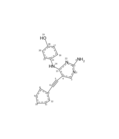 Nc1ncc(C#Cc2ccccc2)c(Nc2ccc(O)cc2)n1